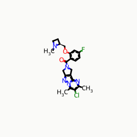 Cc1nc2c3c(nn2c(C)c1Cl)CN(C(=O)c1ccc(F)cc1OC[C@@H]1CCN1C)C3